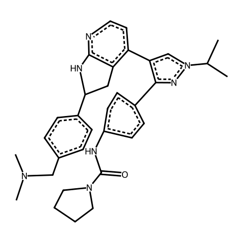 CC(C)n1cc(-c2ccnc3c2CC(c2ccc(CN(C)C)cc2)N3)c(-c2ccc(NC(=O)N3CCCC3)cc2)n1